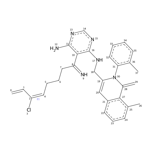 C=C/C(Cl)=C\CCCC(=N)c1c(N)ncnc1NCC1=Cc2cccc(C)c2C(=C)N1c1ccccc1C